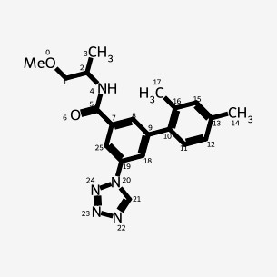 COCC(C)NC(=O)c1cc(-c2ccc(C)cc2C)cc(-n2cnnn2)c1